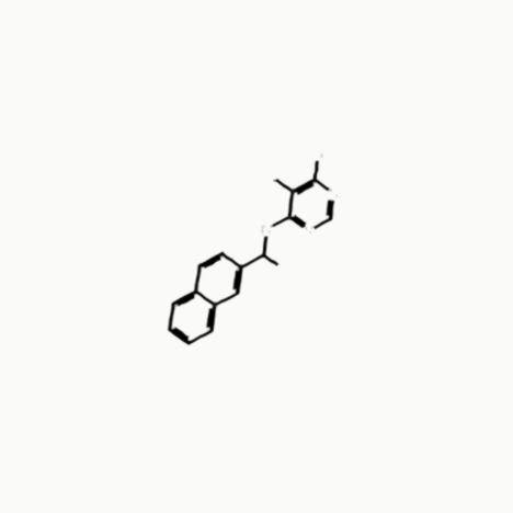 CCCc1ncnc(NC(C)c2ccc3ccccc3c2)c1Cl